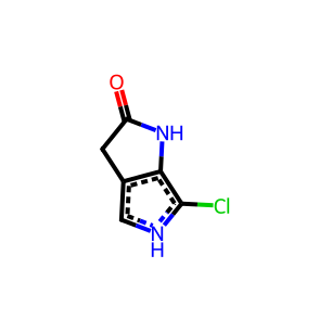 O=C1Cc2c[nH]c(Cl)c2N1